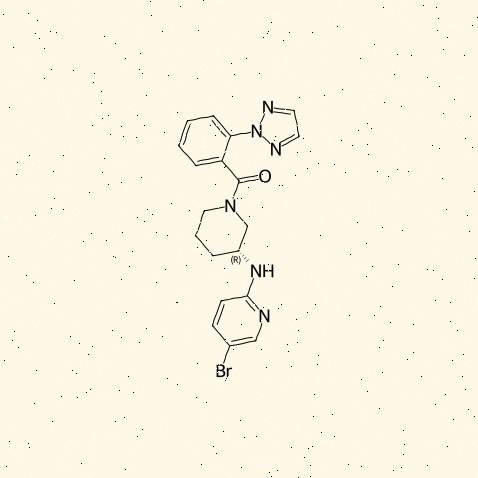 O=C(c1ccccc1-n1nccn1)N1CCC[C@@H](Nc2ccc(Br)cn2)C1